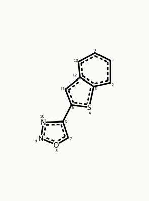 c1ccc2sc(-c3conn3)cc2c1